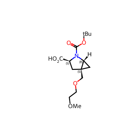 COCCOC[C@@]12C[C@@H](C(=O)O)N(C(=O)OC(C)(C)C)[C@@H]1C2